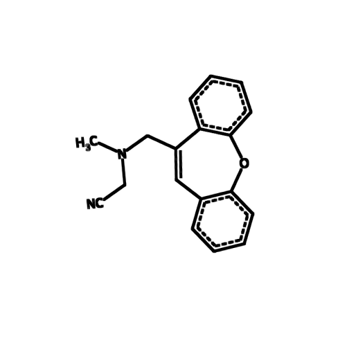 CN(CC#N)CC1=Cc2ccccc2Oc2ccccc21